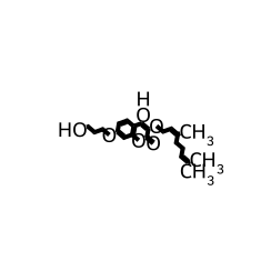 CC(C)=CCCC(C)=CCOc1c(O)c2ccc(OCCCO)cc2oc1=O